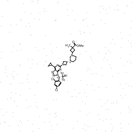 [2H]C([2H])([2H])[C@H](c1ccc(Cl)cc1Cl)n1nnc2c(C3CC3)nc(N3CC([C@H]4CCCN(C5CC(C)(C(=O)OC)C5)C4)C3)nc21